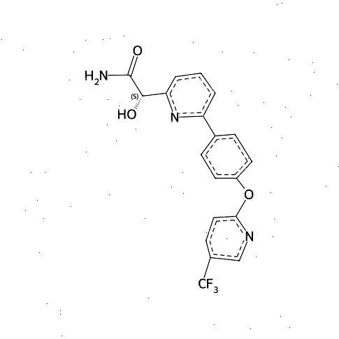 NC(=O)[C@@H](O)c1cccc(-c2ccc(Oc3ccc(C(F)(F)F)cn3)cc2)n1